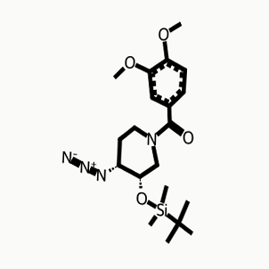 COc1ccc(C(=O)N2CC[C@@H](N=[N+]=[N-])[C@@H](O[Si](C)(C)C(C)(C)C)C2)cc1OC